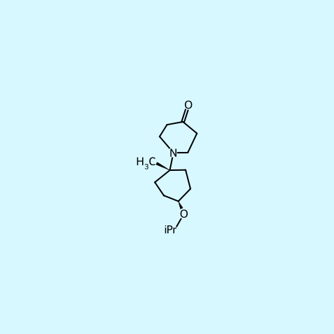 CC(C)O[C@H]1CC[C@](C)(N2CCC(=O)CC2)CC1